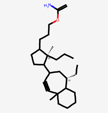 C=C(N)OCCCC1CCC(C2C#CC3(C)CCCCC3[C@@H](CC)C2)[C@]1(C)CCC